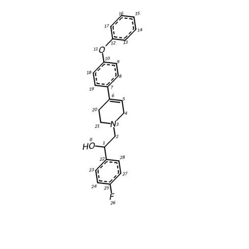 OC(CN1CC=C(c2ccc(Oc3ccccc3)cc2)CC1)c1ccc(F)cc1